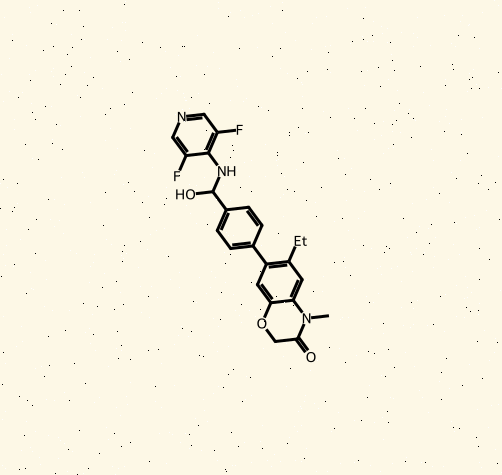 CCc1cc2c(cc1-c1ccc(C(O)Nc3c(F)cncc3F)cc1)OCC(=O)N2C